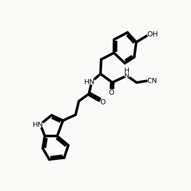 N#CCNC(=O)C(Cc1ccc(O)cc1)NC(=O)CCc1c[nH]c2ccccc12